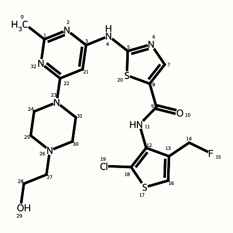 Cc1nc(Nc2ncc(C(=O)Nc3c(CF)csc3Cl)s2)cc(N2CCN(CCO)CC2)n1